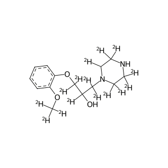 [2H]C1N(C([2H])([2H])C([2H])(O)C([2H])([2H])Oc2ccccc2OC([2H])([2H])[2H])C([2H])([2H])C([2H])([2H])NC1([2H])[2H]